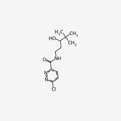 CC(C)(C)C(O)CCNC(=O)c1ccc(Cl)nn1